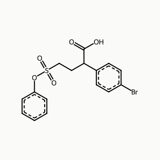 O=C(O)C(CCS(=O)(=O)Oc1ccccc1)c1ccc(Br)cc1